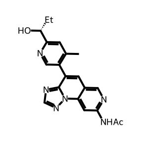 CC[C@@H](O)c1cc(C)c(-c2cc3cnc(NC(C)=O)cc3n3ncnc23)cn1